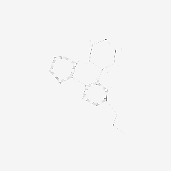 CCCc1ccc(-c2ccccc2)c(C2CCCCC2)c1